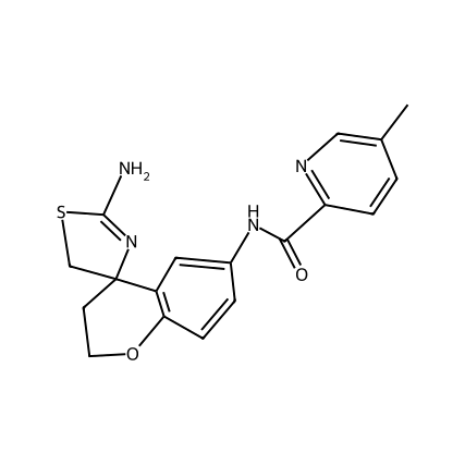 Cc1ccc(C(=O)Nc2ccc3c(c2)C2(CCO3)CSC(N)=N2)nc1